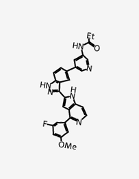 CCC(=O)Nc1cncc(-c2ccc3[nH]nc(-c4cc5c(-c6cc(F)cc(OC)c6)nccc5[nH]4)c3c2)c1